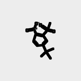 CC(C)(C)c1ccc([N+](=O)[O-])c(S(C)(=O)=O)c1